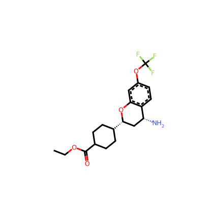 CCOC(=O)C1CCC([C@H]2C[C@@H](N)c3ccc(OC(F)(F)F)cc3O2)CC1